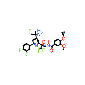 COc1cc(C(=O)NCC(O)(c2cc(C(C)(N)CF)cc(-c3ccc(F)c(Cl)c3)n2)C(F)(F)F)ccc1OC1CC1